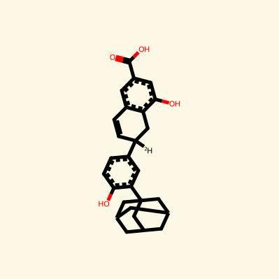 [2H]C1(c2ccc(O)c(C34CC5CC(CC(C5)C3)C4)c2)C=Cc2cc(C(=O)O)cc(O)c2C1